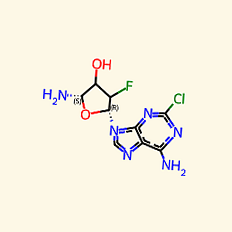 Nc1nc(Cl)nc2c1ncn2[C@@H]1O[C@H](N)C(O)C1F